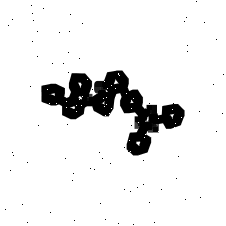 c1ccc(-c2nc(-c3ccccc3)nc(-c3ccc(-c4cccc5oc6c(-n7c8ccccc8c8c(-c9ccccc9)cccc87)cccc6c45)cc3)n2)cc1